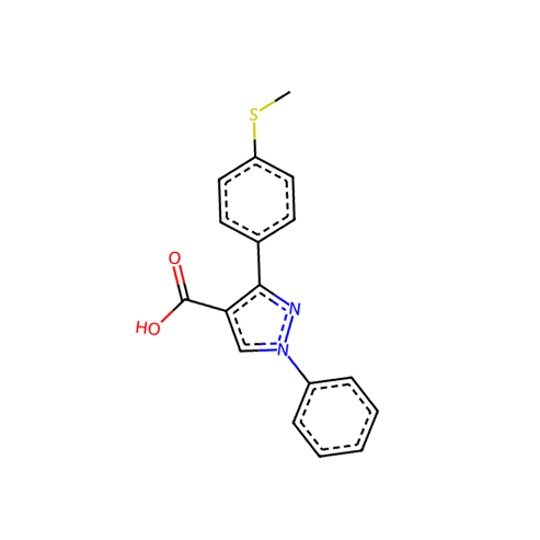 CSc1ccc(-c2nn(-c3ccccc3)cc2C(=O)O)cc1